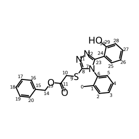 Cc1ccccc1-n1c(SCC(=O)OCc2ccccc2)nnc1-c1ccccc1O